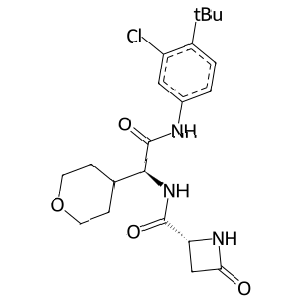 CC(C)(C)c1ccc(NC(=O)[C@@H](NC(=O)[C@H]2CC(=O)N2)C2CCOCC2)cc1Cl